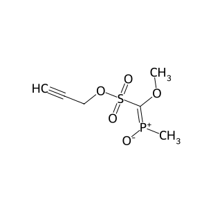 C#CCOS(=O)(=O)/C(OC)=[P+](/C)[O-]